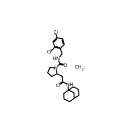 O=C(CC1CCCN1C(=O)NCc1ccc(Cl)cc1Cl)NC12CCCC(CCC1)C2.[CH2]